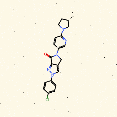 C[C@H]1CCN(c2ccc(N3Cc4cn(-c5ccc(Cl)cc5)nc4C3=O)cn2)C1